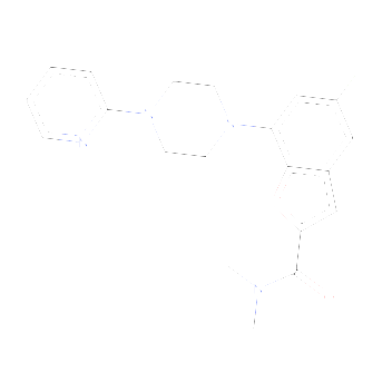 CN(C)C(=O)c1cc2cc(F)cc(N3CCN(c4ccccn4)CC3)c2o1